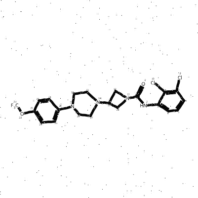 O=C(Nc1cccc(Cl)c1Cl)N1CC(N2CCN(c3ccc(OC(F)(F)F)cc3)CC2)C1